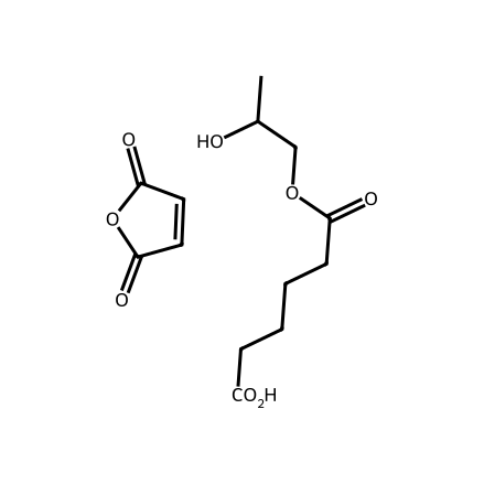 CC(O)COC(=O)CCCCC(=O)O.O=C1C=CC(=O)O1